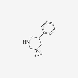 c1ccc(C2CNCC3(CC3)C2)cc1